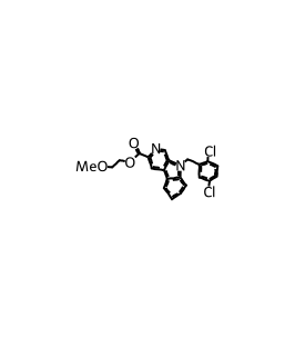 COCCOC(=O)c1cc2c3ccccc3n(Cc3cc(Cl)ccc3Cl)c2cn1